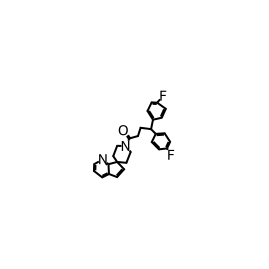 O=C(CCC(c1ccc(F)cc1)c1ccc(F)cc1)N1CCC2(C=Cc3cccnc32)CC1